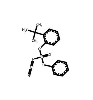 CC(C)(C)c1ccccc1OP(=O)(N=[N+]=[N-])Oc1ccccc1